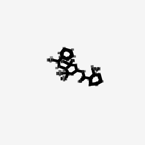 CCC1(CC)CC(OC(=O)c2ccccc2C(=O)O)CC(C)(C)N1OC(C)c1ccccc1